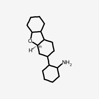 NC1CCCCC1C1CCC2C3CCCCC3O[C@@H]2C1